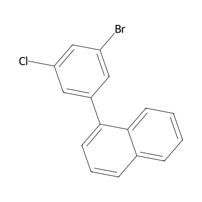 Clc1cc(Br)cc(-c2cccc3ccccc23)c1